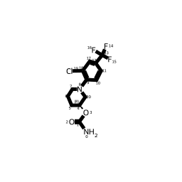 NC(=O)O[C@@H]1CCCN(c2ccc(C(F)(F)F)cc2Cl)C1